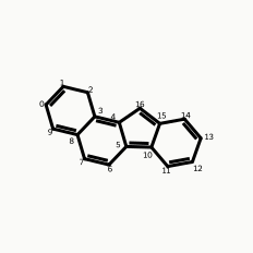 C1=CCc2c3c(ccc2=C1)=c1ccccc1=C3